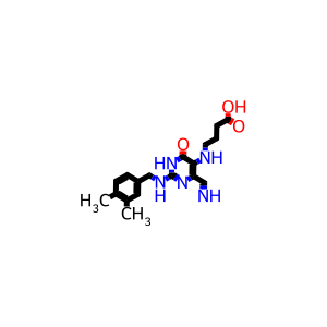 Cc1ccc(CNc2nc(C=N)c(NCCCC(=O)O)c(=O)[nH]2)cc1C